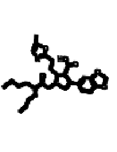 CCCCN(CCCC)C(=O)CN1CC(c2ccc3c(c2)OCO3)C(C(=O)O)C1CCc1ncc(C)o1